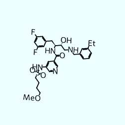 CCc1cccc(CNC[C@@H](O)[C@H](Cc2cc(F)cc(F)c2)NC(=O)c2cncc(NS(=O)(=O)CCCCOC)c2)c1